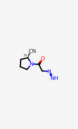 N#C[C@@H]1CCCN1C(=O)CN=N